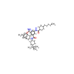 CCCCCC1CCC(C(=O)Nc2cc(C(N)=O)cc(C(=O)N([C@H]3CC[C@@H](C(C)(C)C)CC3)[C@H]3CC[C@@H](C(C)(C)C)CC3)c2)CC1